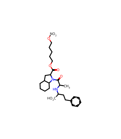 CC(NC(CCc1ccccc1)C(=O)O)C(=O)N1C(C(=O)OCCCCCO[N+](=O)[O-])CC2CCCCC21